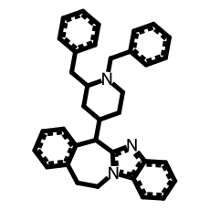 c1ccc(CC2CC(C3c4ccccc4CCn4c3nc3ccccc34)CCN2Cc2ccccc2)cc1